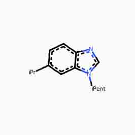 CCCC(C)n1cnc2ccc(C(C)C)cc21